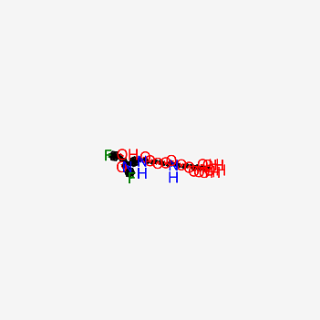 O=C(COCCOCCNC(=O)COCCOCCOCC(=O)NCc1ccc(C2C(CCC(O)c3ccc(F)cc3)C(=O)N2c2ccc(F)cc2)cc1)CC(O)C(O)C(O)C(O)O